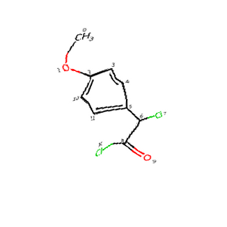 COc1ccc(C(Cl)C(=O)Cl)cc1